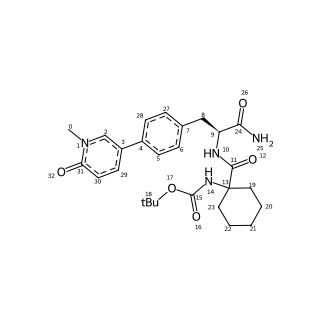 Cn1cc(-c2ccc(C[C@H](NC(=O)C3(NC(=O)OC(C)(C)C)CCCCC3)C(N)=O)cc2)ccc1=O